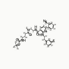 CN(CCNC(=O)c1ccc(-c2ccccc2C#N)nc1NCCc1cccc(F)c1)C(=O)CCCNC(=O)OC(C)(C)C